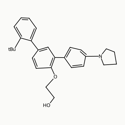 CC(C)(C)c1ccccc1-c1ccc(OCCO)c(-c2ccc(N3CCCC3)cc2)c1